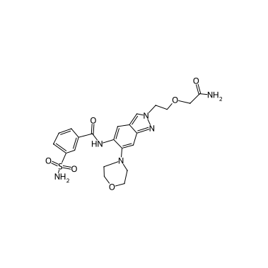 NC(=O)COCCn1cc2cc(NC(=O)c3cccc(S(N)(=O)=O)c3)c(N3CCOCC3)cc2n1